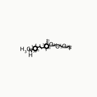 CNc1ccc(/C=C/c2ccc(OCCOCCOCCF)c(I)c2)cc1